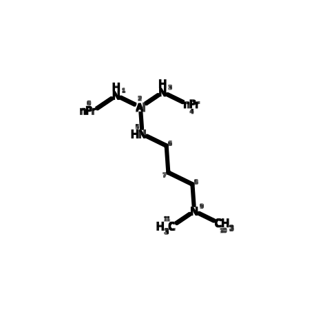 CCC[NH][Al]([NH]CCC)[NH]CCCN(C)C